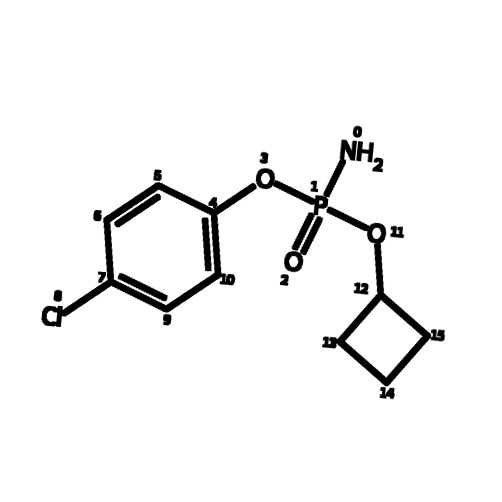 NP(=O)(Oc1ccc(Cl)cc1)OC1CCC1